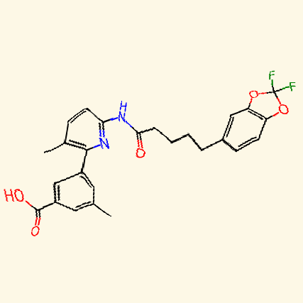 Cc1cc(C(=O)O)cc(-c2nc(NC(=O)CCCCc3ccc4c(c3)OC(F)(F)O4)ccc2C)c1